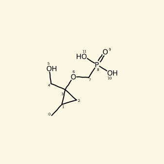 CC1CC1(CO)OCP(=O)(O)O